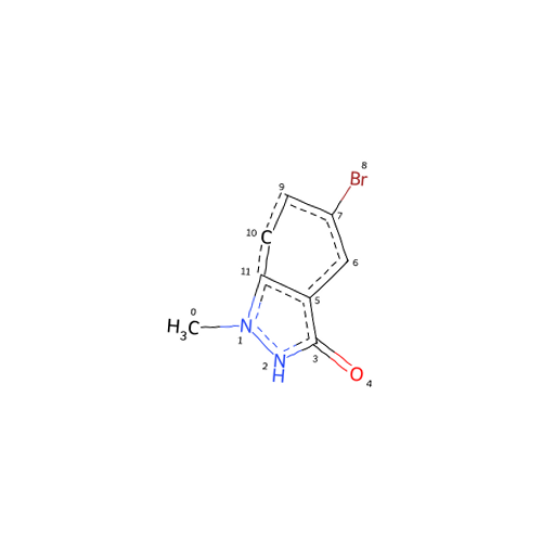 Cn1[nH]c(=O)c2cc(Br)ccc21